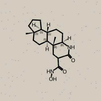 C[C@@]12CCC[C@H]1[C@@H]1CC[C@H]3NC(=O)C(C(=O)NO)C[C@]3(C)[C@H]1CC2